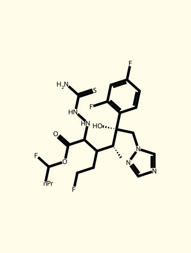 CCCC(F)OC(=O)C(NNC(N)=S)C(CCF)[C@@H](C)[C@](O)(Cn1cncn1)c1ccc(F)cc1F